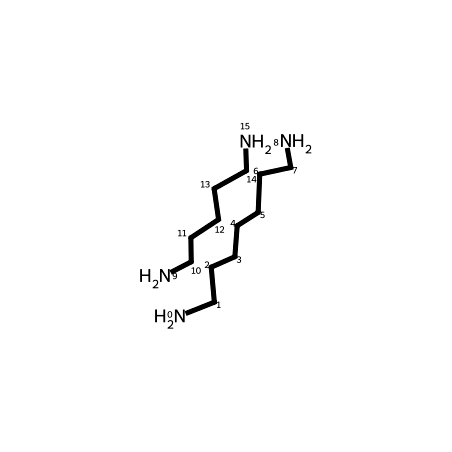 NCCCCCCCN.NCCCCCN